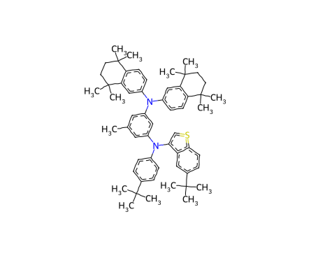 Cc1cc(N(c2ccc3c(c2)C(C)(C)CCC3(C)C)c2ccc3c(c2)C(C)(C)CCC3(C)C)cc(N(c2ccc(C(C)(C)C)cc2)c2csc3ccc(C(C)(C)C)cc23)c1